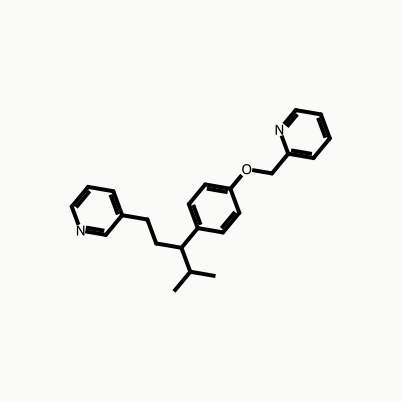 CC(C)[C](CCc1cccnc1)c1ccc(OCc2ccccn2)cc1